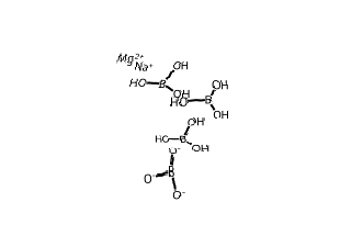 OB(O)O.OB(O)O.OB(O)O.[Mg+2].[Na+].[O-]B([O-])[O-]